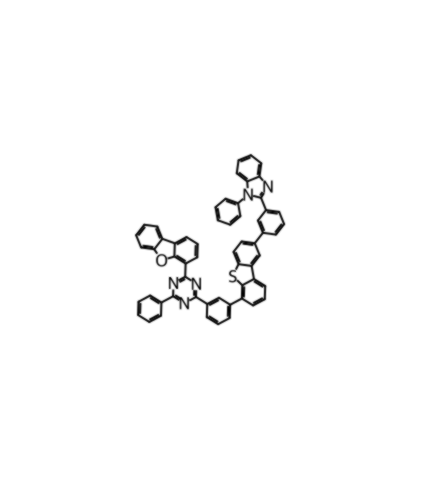 c1ccc(-c2nc(-c3cccc(-c4cccc5c4sc4ccc(-c6cccc(-c7nc8ccccc8n7-c7ccccc7)c6)cc45)c3)nc(-c3cccc4c3oc3ccccc34)n2)cc1